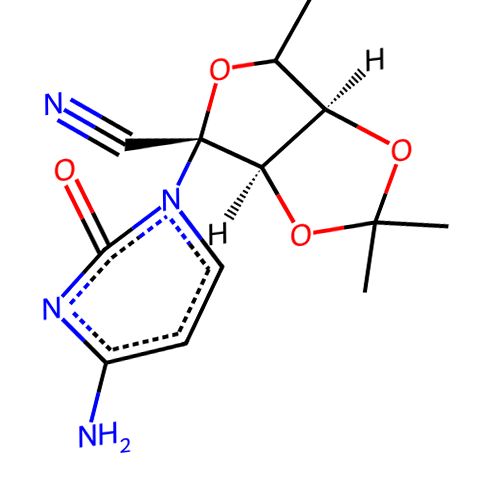 CC1(C)O[C@@H]2C(CO)O[C@@](C#N)(n3ccc(N)nc3=O)[C@@H]2O1